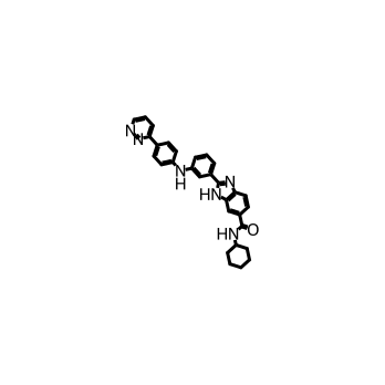 O=C(NC1CCCCC1)c1ccc2nc(-c3cccc(Nc4ccc(-c5cccnn5)cc4)c3)[nH]c2c1